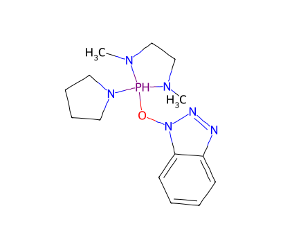 CN1CCN(C)[PH]1(On1nnc2ccccc21)N1CCCC1